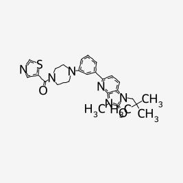 Cn1c(=O)n(CC(C)(C)C)c2ccc(-c3cccc(N4CCN(C(=O)c5cncs5)CC4)c3)nc21